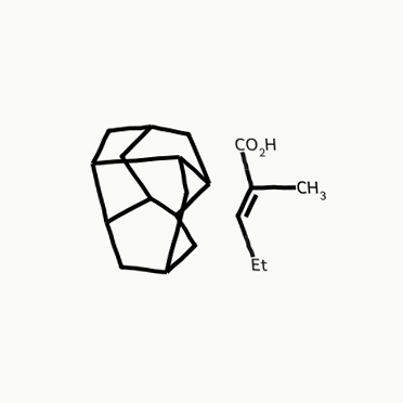 C1C2CC3C4CC5CC(C14)C(C2)C3C5.CCC=C(C)C(=O)O